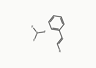 FB(F)F.[K][CH]=Cc1ccccc1